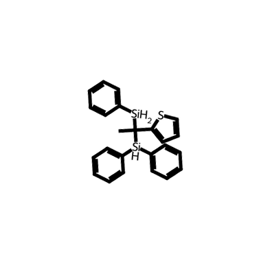 CC([SiH2]c1ccccc1)(c1cccs1)[SiH](c1ccccc1)c1ccccc1